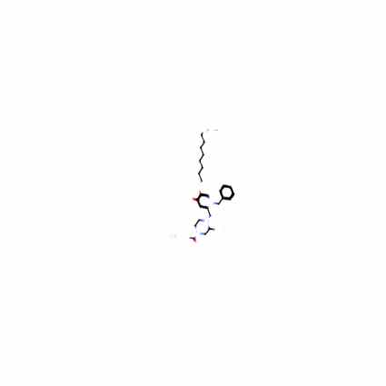 CCCCCCCCCCCCCCCCCCOc1cn(Cc2ccccc2)c(CN2CCN(C(=O)OC)CC2C)cc1=O